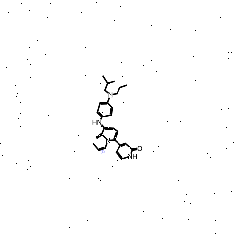 C=C1C(Nc2ccc(N(CCC)CC(C)C)cc2)=CC=C(c2cc[nH]c(=O)c2)N1/C=C\C